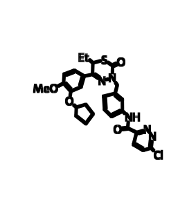 CCC1SC(=O)N(Cc2cccc(NC(=O)c3ccc(Cl)nn3)c2)N=C1c1ccc(OC)c(OC2CCCC2)c1